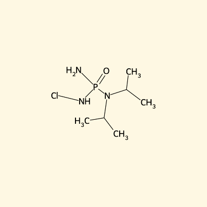 CC(C)N(C(C)C)P(N)(=O)NCl